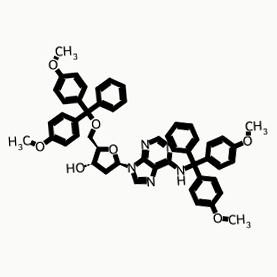 COc1ccc(C(Nc2ncnc3c2ncn3[C@H]2C[C@H](O)[C@@H](COC(c3ccccc3)(c3ccc(OC)cc3)c3ccc(OC)cc3)O2)(c2ccccc2)c2ccc(OC)cc2)cc1